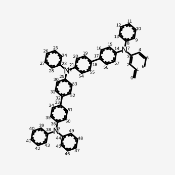 C=C/C=C(\C=C/C)N(c1ccccc1)c1ccc(-c2ccc(N(c3ccccc3)c3ccc(-c4ccc(N(c5ccccc5)c5ccccc5)cc4)cc3)cc2)cc1